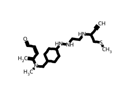 C#CC(CSC)NCCNNC1CCC(CN(C)C(=C)/C=C\C=O)CC1